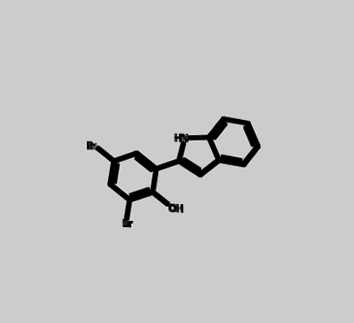 Oc1c(Br)cc(Br)cc1-c1cc2ccccc2[nH]1